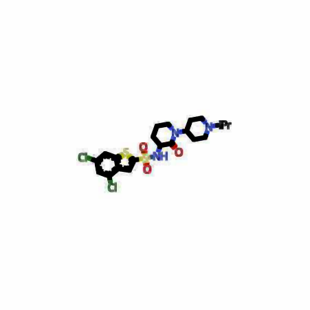 CC(C)N1CCC(N2CCCC(NS(=O)(=O)c3cc4c(Cl)cc(Cl)cc4s3)C2=O)CC1